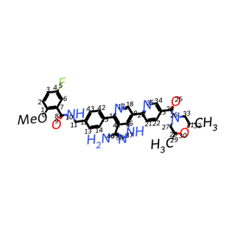 COc1ccc(F)cc1C(=O)NCc1ccc(-c2ncc(-c3ccc(C(=O)N4C[C@H](C)O[C@@H](C)C4)cn3)c3[nH]nc(N)c23)cc1